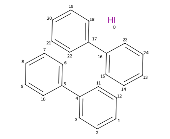 I.c1ccc(-c2ccccc2)cc1.c1ccc(-c2ccccc2)cc1